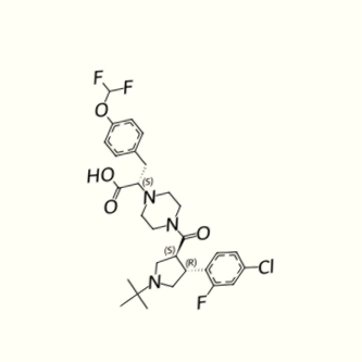 CC(C)(C)N1C[C@@H](C(=O)N2CCN([C@@H](Cc3ccc(OC(F)F)cc3)C(=O)O)CC2)[C@H](c2ccc(Cl)cc2F)C1